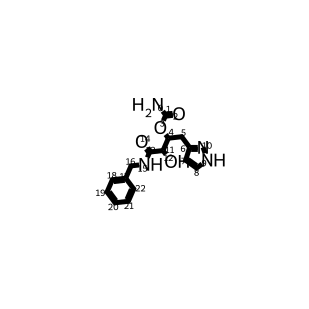 NC(=O)OC(Cc1cc[nH]n1)C(O)C(=O)NCc1ccccc1